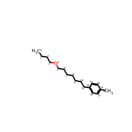 CCCCOCCCCCCCc1ccc(C)cc1